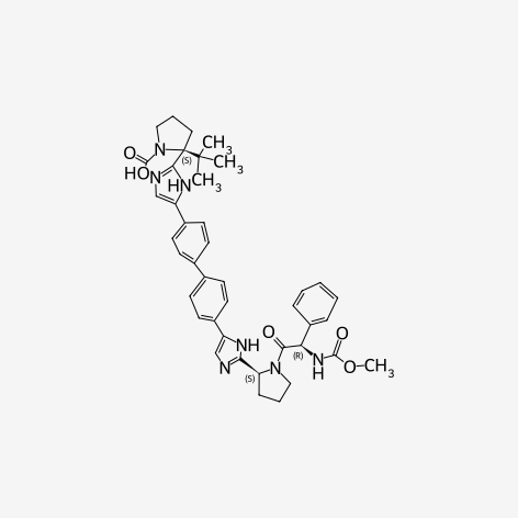 COC(=O)N[C@@H](C(=O)N1CCC[C@H]1c1ncc(-c2ccc(-c3ccc(-c4cnc([C@@]5(C(C)(C)C)CCCN5C(=O)O)[nH]4)cc3)cc2)[nH]1)c1ccccc1